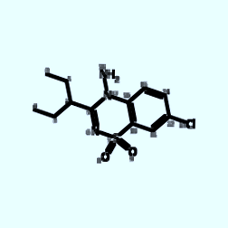 CCC(CC)C1=NS(=O)(=O)c2cc(Cl)ccc2N1N